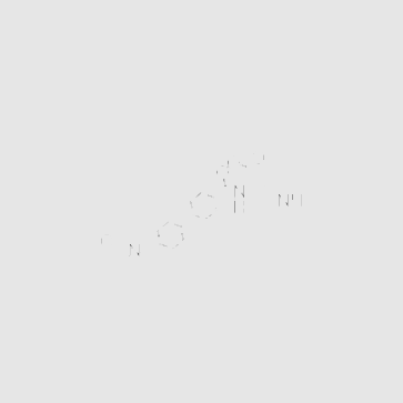 COC(=O)C(NC(=O)c1ccc(-c2ccc(CN3CCOCC3)cc2)cc1)C1CCNC1